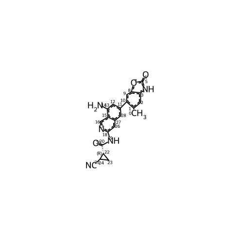 Cc1cc2[nH]c(=O)oc2cc1-c1cc(N)c2cnc(NC(=O)[C@@H]3CC3C#N)cc2c1